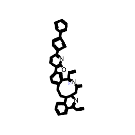 C=CC1=NC2CC(=C)/N=C(/C=C)c3c(ccc4c3oc3nc(-c5ccc(-c6ccccc6)cc5)ccc34)CCC2c2ccccc21